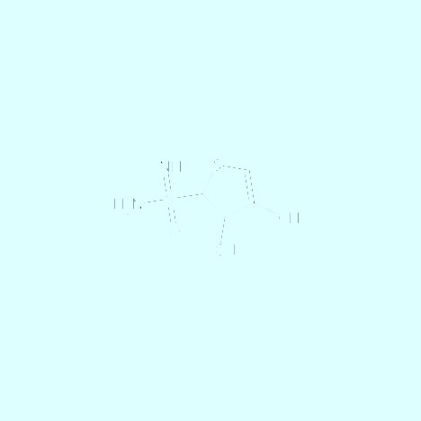 Cc1csc(S(=N)(N)=O)c1C